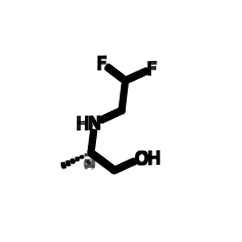 C[C@@H](CO)NCC(F)F